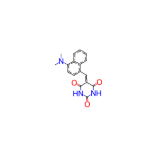 CN(C)c1ccc(C=C2C(=O)NC(=O)NC2=O)c2ccccc12